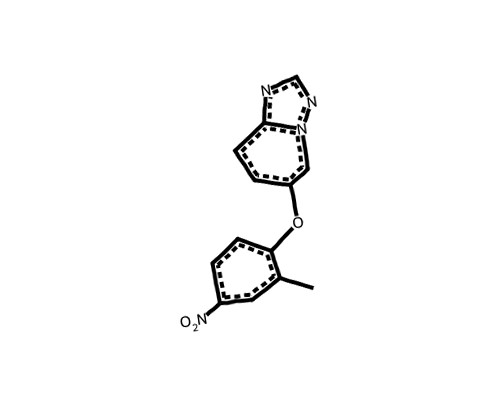 Cc1cc([N+](=O)[O-])ccc1Oc1ccc2ncnn2c1